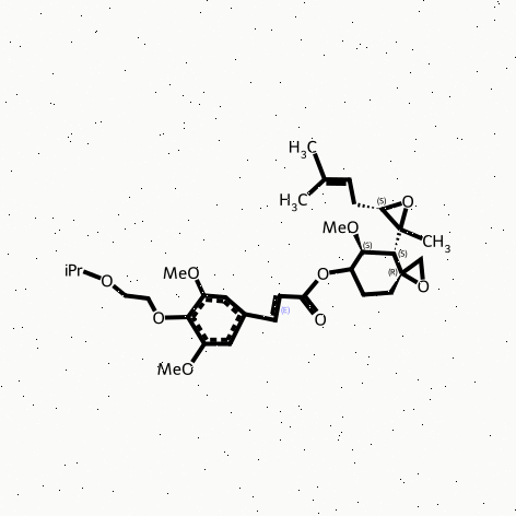 COc1cc(/C=C/C(=O)OC2CC[C@]3(CO3)[C@@H](C3(C)O[C@H]3CC=C(C)C)[C@@H]2OC)cc(OC)c1OCCOC(C)C